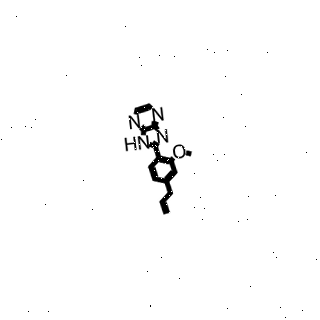 C=CCc1ccc(-c2nc3nccnc3[nH]2)c(OC)c1